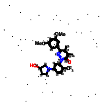 COc1cc(OC)cc(-c2nn(-c3cc(N4CCC(O)C4)ccc3C(F)(F)F)c(=O)c(C)c2C)c1